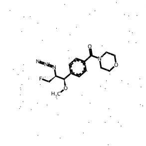 CO[C@H](c1ccc(C(=O)N2CCOCC2)cc1)[C@@H](CF)N=[N+]=[N-]